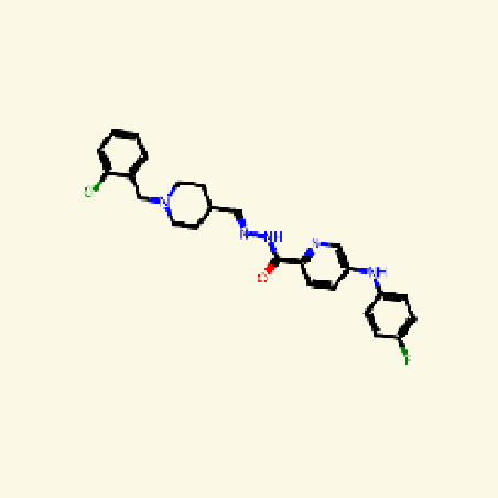 O=C(NN=CC1CCN(Cc2ccccc2Cl)CC1)c1ccc(Nc2ccc(F)cc2)cn1